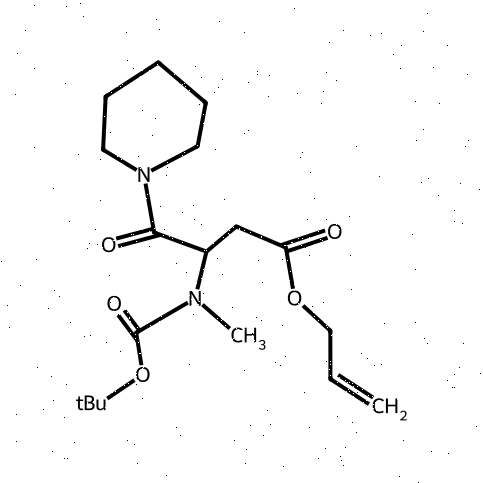 C=CCOC(=O)CC(C(=O)N1CCCCC1)N(C)C(=O)OC(C)(C)C